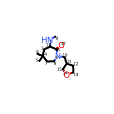 CNC1CC(C)(C)CCN(CC2CCOC2)C1=O